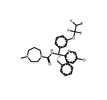 CN1CCCN(C(=O)N[C@@](Cc2ccccc2)(c2cccc(OC(F)(F)C(F)F)c2)c2ccc(Cl)cn2)CC1